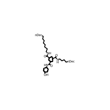 CCCCCCCCCCCCCCCCCCNC(=O)c1cc(C(=O)NCCCCCCCCCCCCCC)cc(C(=O)Nc2ccc(O)cc2)c1